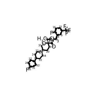 CC(C)[C@]1(C(=O)NCc2cc(C(F)(F)F)ccc2F)CC[C@@H](N2CCC(c3ccc(F)cc3)CC2)CO1